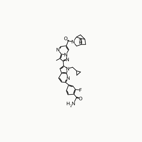 Cc1c(-c2cc3ccc(-c4ccc(C(N)=O)c(F)c4)nc3n2CC2CC2)nn2cc(C(=O)N3CC4CC5CC3[C@H]54)cnc12